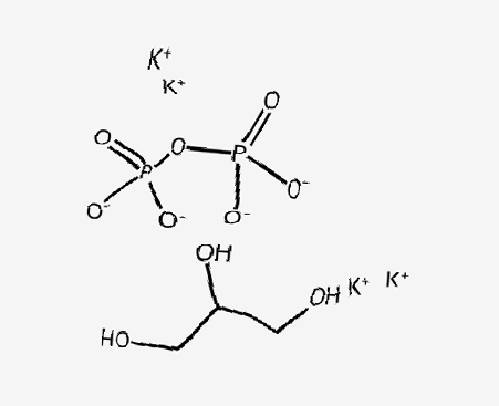 O=P([O-])([O-])OP(=O)([O-])[O-].OCC(O)CO.[K+].[K+].[K+].[K+]